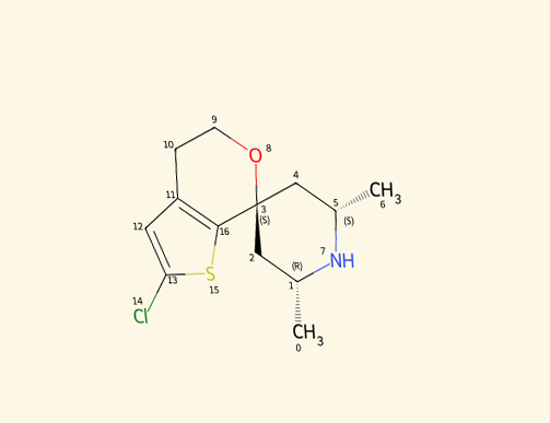 C[C@@H]1C[C@]2(C[C@H](C)N1)OCCc1cc(Cl)sc12